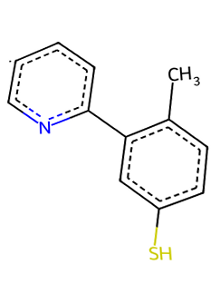 Cc1ccc(S)cc1-c1cc[c]cn1